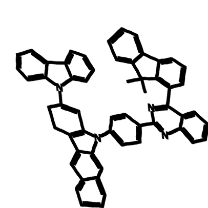 CC1(C)c2ccccc2-c2cccc(-c3nc(-c4ccc(-n5c6c(c7cc8ccccc8cc75)CCC(n5c7ccccc7c7ccccc75)=C6)cc4)nc4ccccc34)c21